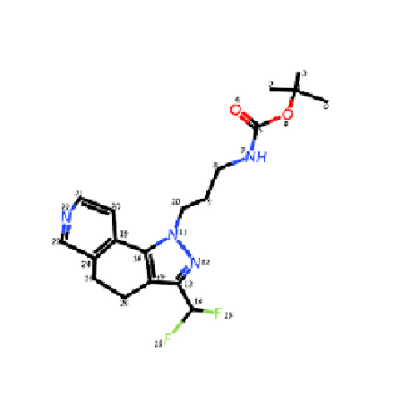 CC(C)(C)OC(=O)NCCCn1nc(C(F)F)c2c1-c1ccncc1CC2